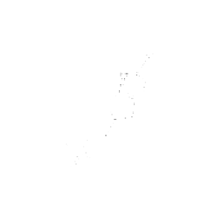 CS(=O)(=O)OCC1Cn2cc([N+](=O)[O-])nc2O1